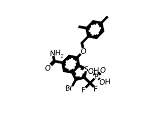 Cc1ccc(COc2cc(C(N)=O)cc3c(Br)c(C(F)(F)P(=O)(O)O)sc23)c(C)c1